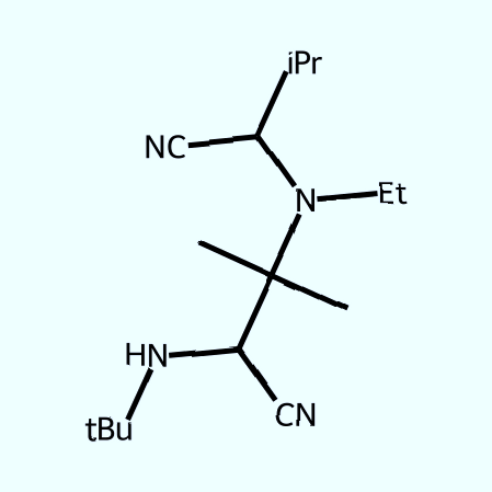 CCN(C(C#N)C(C)C)C(C)(C)C(C#N)NC(C)(C)C